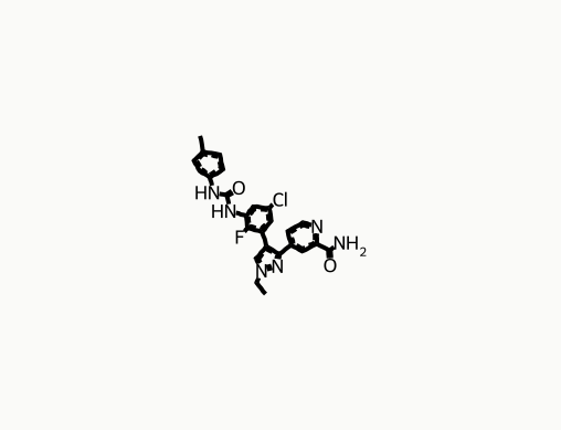 CCn1cc(-c2cc(Cl)cc(NC(=O)Nc3ccc(C)cc3)c2F)c(-c2ccnc(C(N)=O)c2)n1